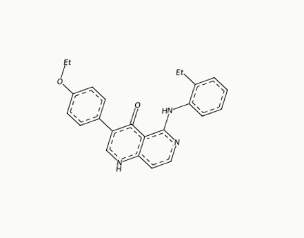 CCOc1ccc(-c2c[nH]c3ccnc(Nc4ccccc4CC)c3c2=O)cc1